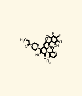 C=CC(=O)N1CCN(c2c(C#N)c(=O)n(-c3c(C)ccnc3C(C)C)c3nc(-c4c(O)c(Cl)c(F)c(F)c4Cl)c(Cl)cc23)CC1